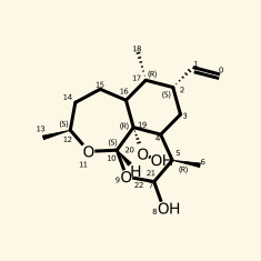 C=C[C@@H]1CC2[C@@H](C)C(O)O[C@@H]3O[C@@H](C)CCC([C@@H]1C)[C@@]23OO